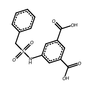 O=C(O)c1cc(NS(=O)(=O)Cc2ccccc2)cc(C(=O)O)c1